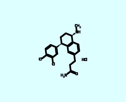 CN[C@H]1CC[C@@H](c2ccc(Cl)c(Cl)c2)c2cc(CCC(N)=O)ccc21.Cl